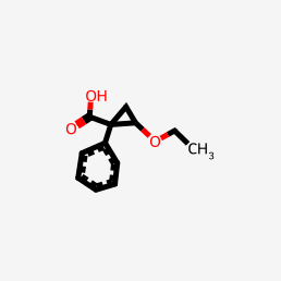 CCOC1CC1(C(=O)O)c1ccccc1